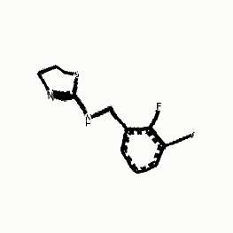 Fc1c(I)cccc1CNC1=NCCS1